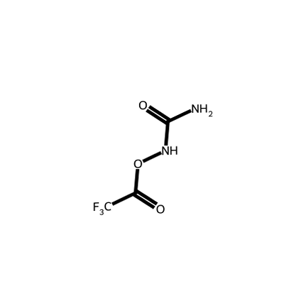 NC(=O)NOC(=O)C(F)(F)F